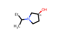 CCC(C)N1CC[C@H](O)C1